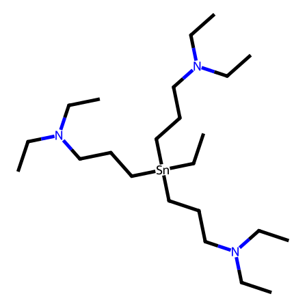 CCN(CC)CC[CH2][Sn]([CH2]C)([CH2]CCN(CC)CC)[CH2]CCN(CC)CC